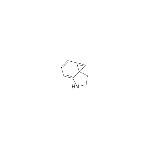 C1=CC2=CC23CCNC3=C1